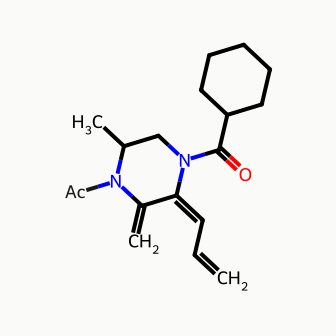 C=C/C=C1\C(=C)N(C(C)=O)C(C)CN1C(=O)C1CCCCC1